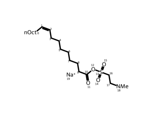 CCCCCCCC/C=C\CCCCCCCC(=O)OS(=O)(=O)CC[N-]C.[Na+]